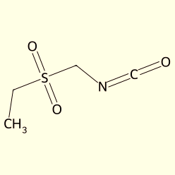 CCS(=O)(=O)CN=C=O